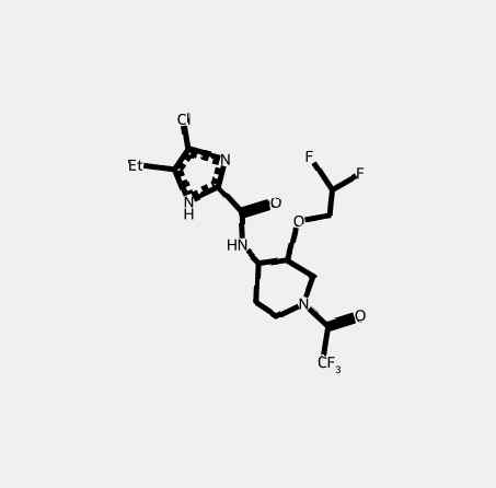 CCc1[nH]c(C(=O)NC2CCN(C(=O)C(F)(F)F)CC2OCC(F)F)nc1Cl